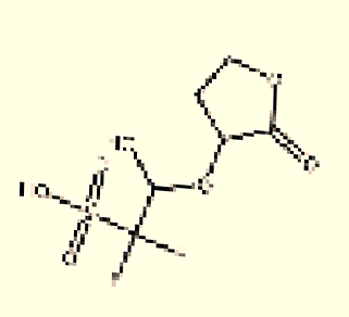 O=C1OCCC1OC(O)C(F)(F)S(=O)(=O)O